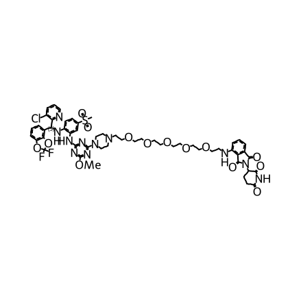 COc1nc(Nc2cc(S(C)(=O)=O)ccc2N[C@@H](c2cccc3c2OC(F)(F)O3)c2ncccc2Cl)nc(N2CCN(CCOCCOCCOCCOCCOCCNc3cccc4c3C(=O)N(C3CCC(=O)NC3=O)C4=O)CC2)n1